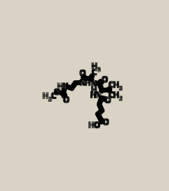 COC(=O)NCCNC(=O)C(C)NC(=O)C(NC(=O)CCCC(=O)O)C(C)C